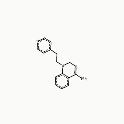 NC1=NCN(CCc2ccncc2)c2ccccc21